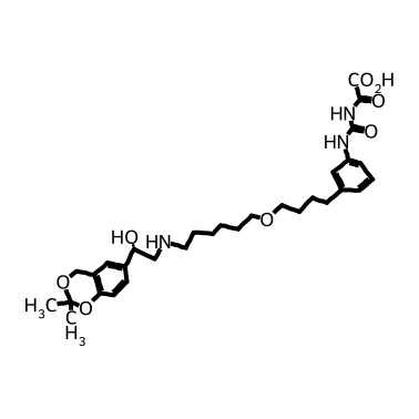 CC1(C)OCc2cc([C@H](O)CNCCCCCCOCCCCc3cccc(NC(=O)NC(=O)C(=O)O)c3)ccc2O1